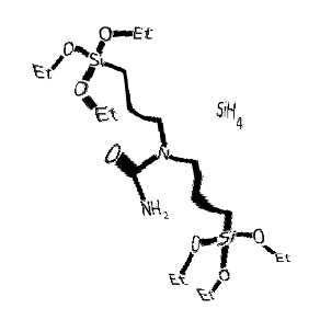 CCO[Si](CCCN(CCC[Si](OCC)(OCC)OCC)C(N)=O)(OCC)OCC.[SiH4]